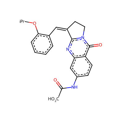 CC(C)Oc1ccccc1/C=C1/CCn2c1nc1cc(NC(=O)C(=O)O)ccc1c2=O